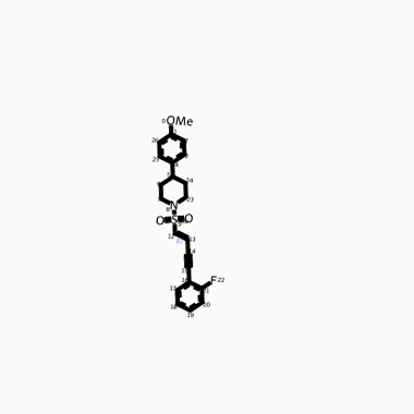 COc1ccc(C2CCN(S(=O)(=O)/C=C/C#Cc3ccccc3F)CC2)cc1